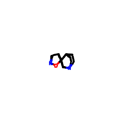 C1=NOC2(C1)CN1CCC2CC1